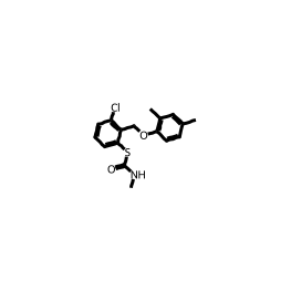 CNC(=O)Sc1cccc(Cl)c1COc1ccc(C)cc1C